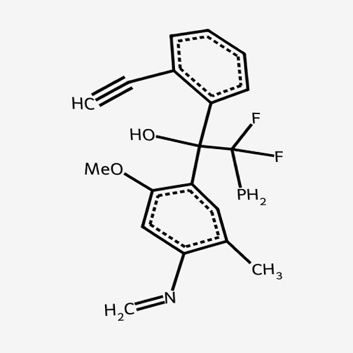 C#Cc1ccccc1C(O)(c1cc(C)c(N=C)cc1OC)C(F)(F)P